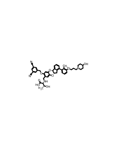 Cc1c(OCCCN2CCC(O)CC2)cccc1-c1cccc2c1CC[C@@H]2Oc1cc(OCc2cc(C#N)cc(C#N)c2)c(CN[C@H](C(=O)O)[C@@H](C)O)cc1Cl